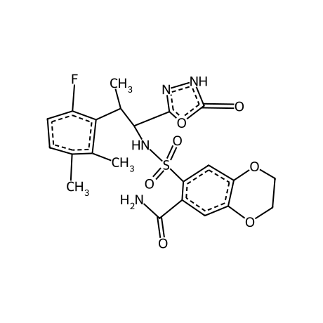 Cc1ccc(F)c(C(C)C(NS(=O)(=O)c2cc3c(cc2C(N)=O)OCCO3)c2n[nH]c(=O)o2)c1C